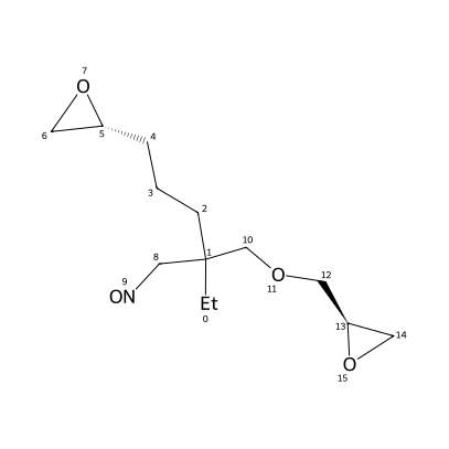 CCC(CCC[C@@H]1CO1)(CN=O)COC[C@H]1CO1